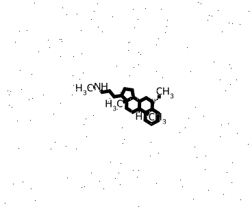 CC[C@H]1CC2C3CCC(CCCNC)C3(C)CC[C@@H]2C2(C)CCCCC12